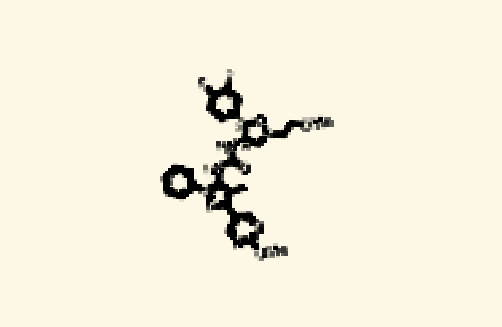 COCCN1C[C@@H](NC(=O)Nc2c(C)c(-c3cnc(OC)nc3)nn2-c2ccccc2)[C@H](c2ccc(F)c(F)c2)O1